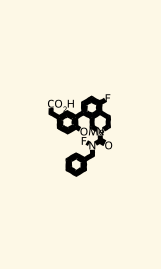 COc1ccc(CC(=O)O)cc1-c1ccc(F)c2c1CN(C(=O)N(F)Cc1ccccc1)CC2